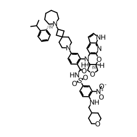 CC(C)c1ccccc1[C@@H]1CCCCCN1C1CC2(CCN(c3ccc(C(=O)NS(=O)(=O)c4ccc(NCC5CCOCC5)c([N+](=O)[O-])c4)c(N4c5cc6cc[nH]c6nc5O[C@@H]5COC[C@H]54)c3)CC2)C1